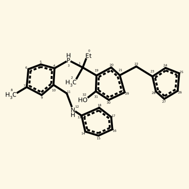 CCC(C)(Pc1ccc(C)cc1CNc1ccccc1)c1cc(Cc2ccccc2)ccc1O